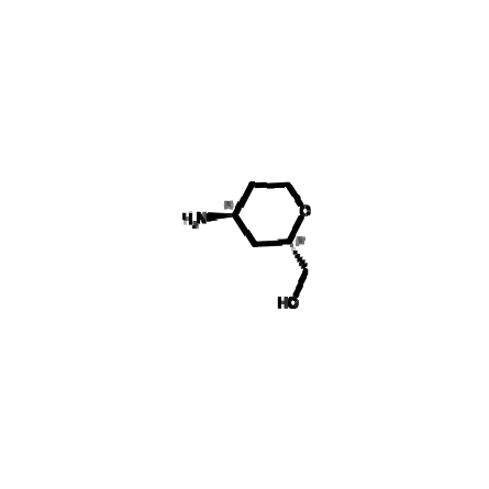 N[C@H]1CCO[C@H](CO)C1